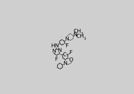 CN(C)C1CCN(c2ccc(Nc3ncc(F)c(-c4cc(F)c5c(c4)N(c4ccccc4)CCO5)n3)cc2F)CC1